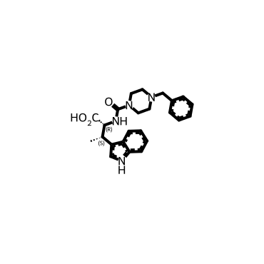 C[C@@H](c1c[nH]c2ccccc12)[C@@H](NC(=O)N1CCN(Cc2ccccc2)CC1)C(=O)O